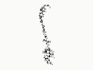 N=C(c1ccc2oc(N)nc2c1)c1c(N)ncnc1NCCCCNC(=O)CCOCCOCCOCCOCCN1CCN(c2ncc(CN)cn2)CC1